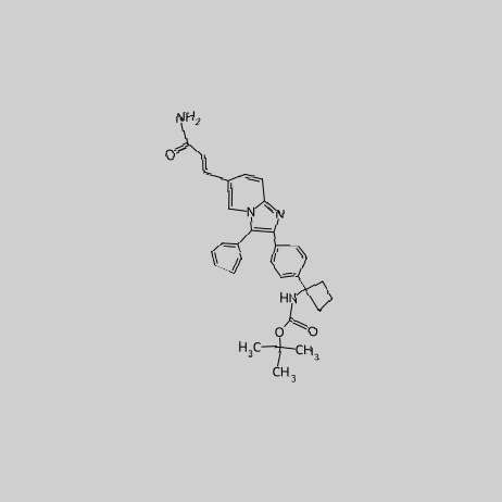 CC(C)(C)OC(=O)NC1(c2ccc(-c3nc4ccc(C=CC(N)=O)cn4c3-c3ccccc3)cc2)CCC1